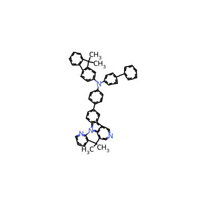 CC1(C)c2ccccc2-c2ccc(N(c3ccc(-c4ccccc4)cc3)c3ccc(-c4ccc5c(c4)c4cncc6c4n5-c4ncccc4C6(C)C)cc3)cc21